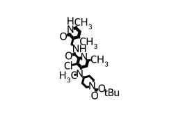 Cc1cc(N(C)C2CCN(C(=O)OC(C)(C)C)CC2)c(Cl)c(C(=O)NCc2c(C)cc(C)[nH]c2=O)n1